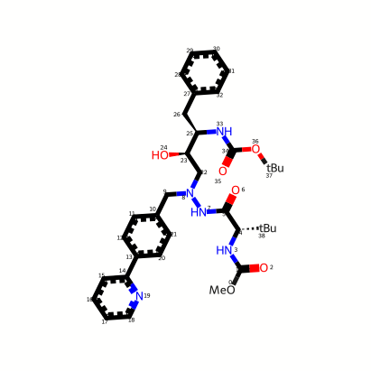 COC(=O)N[C@H](C(=O)NN(Cc1ccc(-c2ccccn2)cc1)C[C@@H](O)[C@@H](Cc1ccccc1)NC(=O)OC(C)(C)C)C(C)(C)C